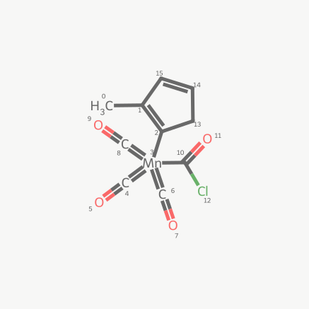 CC1=[C]([Mn](=[C]=O)(=[C]=O)(=[C]=O)[C](=O)Cl)CC=C1